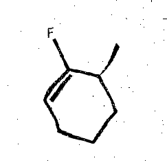 C[C@H]1CCCC=C1F